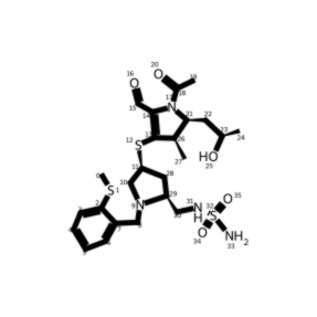 CSc1ccccc1CN1C[C@@H](SC2=C(C=O)N(C(C)=O)[C@@H](C[C@@H](C)O)[C@H]2C)C[C@H]1CNS(N)(=O)=O